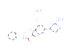 NCCOc1cc(-c2ccnc(N)n2)cc2sc(C(=O)NCc3ccccc3)nc12